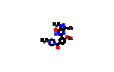 CCCc1nn(C)c2c(=O)[nH]c(-c3cc(C(=O)N4CCN(C)CC4)ccc3OCC)nc12